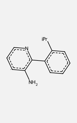 CC(C)c1ccccc1-c1ncc[c]c1N